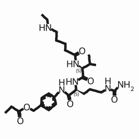 CCNCCCCC(=O)N[C@H](C(=O)N[C@@H](CCCNC(N)=O)C(=O)Nc1ccc(COC(=O)CC)cc1)C(C)C